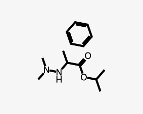 CC(C)OC(=O)C(C)NN(C)C.c1ccccc1